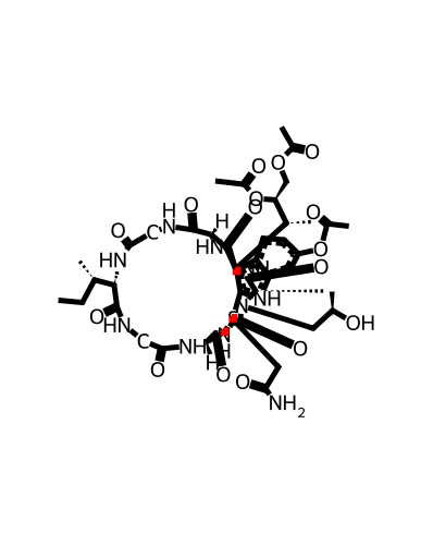 CC[C@H](C)[C@@H]1NC(=O)CNC(=O)[C@H]2Cc3c([nH]c4cc(OC(C)=O)ccc34)SC[C@H](NC(=O)CNC1=O)C(=O)NC(CC(N)=O)C(=O)N(C[C@@H](C)O)[C@@H](C)C(=O)N[C@@H]([C@@H](C)[C@H](COC(C)=O)OC(C)=O)C(=O)N2